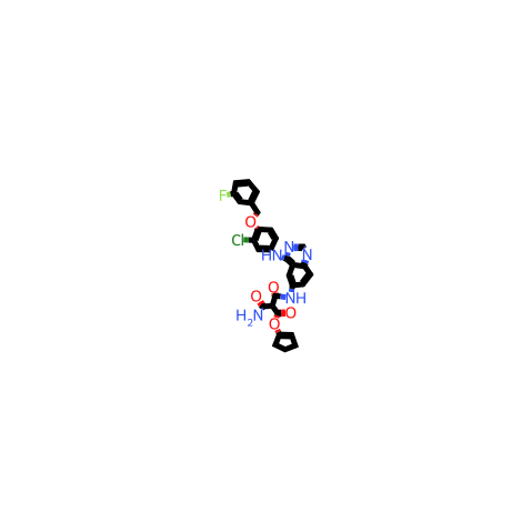 NC(=O)C(C(=O)Nc1ccc2ncnc(Nc3ccc(OCc4cccc(F)c4)c(Cl)c3)c2c1)C(=O)OC1=CCCC1